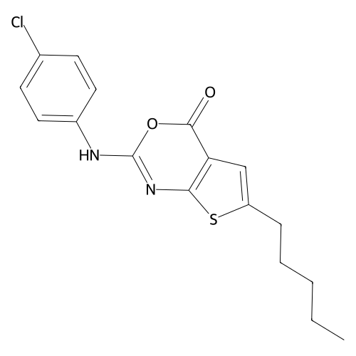 CCCCCc1cc2c(=O)oc(Nc3ccc(Cl)cc3)nc2s1